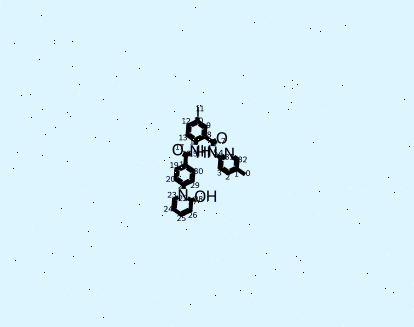 Cc1ccc(NC(=O)c2cc(I)ccc2NC(=O)c2ccc(N3C=CC=CC3O)cc2)nc1